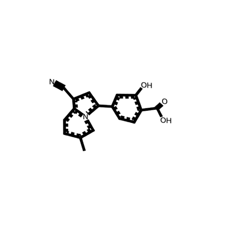 Cc1ccc2c(C#N)cc(-c3ccc(C(=O)O)c(O)c3)n2c1